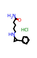 Cl.NC(=O)CCCCNC1CC1c1ccccc1